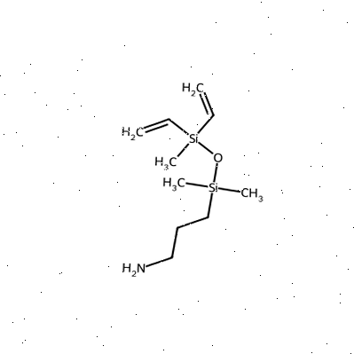 C=C[Si](C)(C=C)O[Si](C)(C)CCCN